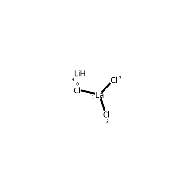 [Cl][La]([Cl])[Cl].[LiH]